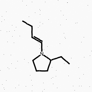 CCC=CN1CCCC1CC